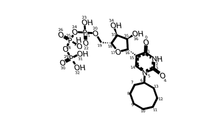 O=c1[nH]c(=O)n(C2CCCCCCC2)cc1[C@@H]1O[C@H](COP(=O)(O)OP(=O)(O)OP(=O)(O)O)[C@@H](O)[C@H]1O